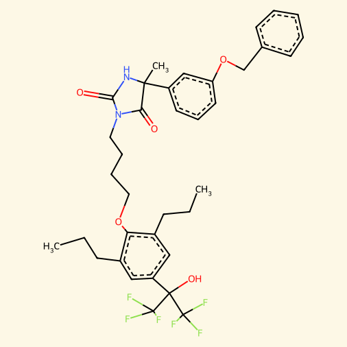 CCCc1cc(C(O)(C(F)(F)F)C(F)(F)F)cc(CCC)c1OCCCCN1C(=O)NC(C)(c2cccc(OCc3ccccc3)c2)C1=O